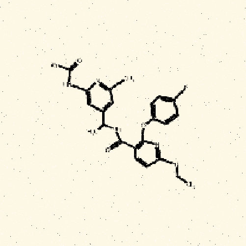 Cc1cc(C(C)NC(=O)c2ccc(OCC(F)(F)F)nc2Oc2ccc(F)cc2)cc(NC(=O)C(C)C)n1